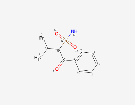 CC(C)C(C)C(C(=O)c1ccccc1)S([NH])(=O)=O